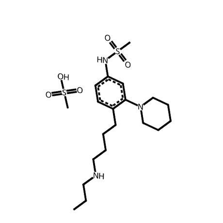 CCCNCCCCc1ccc(NS(C)(=O)=O)cc1N1CCCCC1.CS(=O)(=O)O